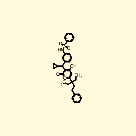 CCC(CC)(CCc1ccccc1)c1cc(O)c(C(c2cccc(NS(=O)(=O)c3ccccc3)c2)C2CC2)c(=O)o1